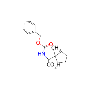 CC1(C(NC(=O)OCc2ccccc2)C(=O)O)CCCC1